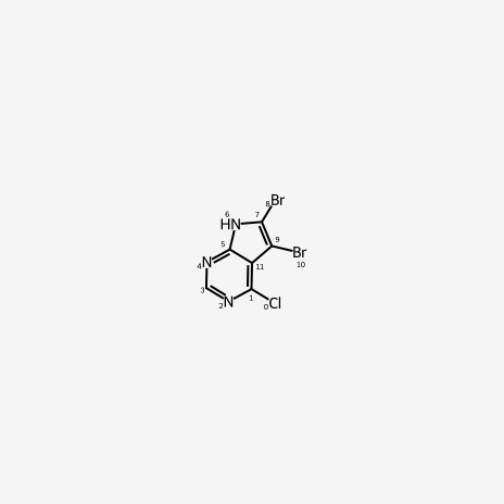 Clc1ncnc2[nH]c(Br)c(Br)c12